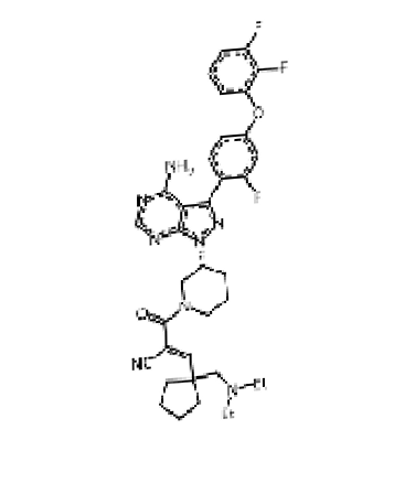 CCN(CC)CC1(C=C(C#N)C(=O)N2CCC[C@@H](n3nc(-c4ccc(Oc5cccc(F)c5F)cc4F)c4c(N)ncnc43)C2)CCCC1